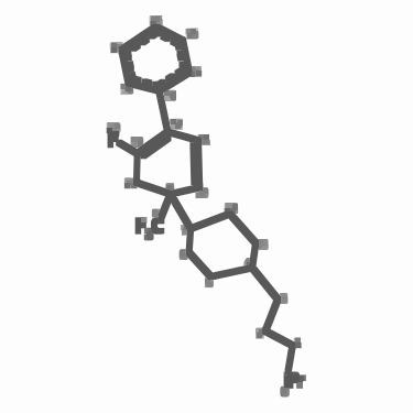 CC(C)CCCC1CCC(C2(C(F)(F)F)C=CC(c3ccccc3)=C(F)C2)CC1